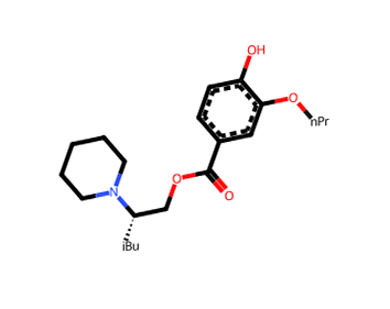 CCCOc1cc(C(=O)OC[C@H](C(C)CC)N2CCCCC2)ccc1O